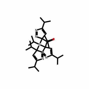 CC(C)C1=CC(C(C)C)([B-](C(C)C)(C2(C(C)C)C=C(C(C)C)N=N2)C2(C(C)C)C=C(C(C)C)N=N2)N=N1